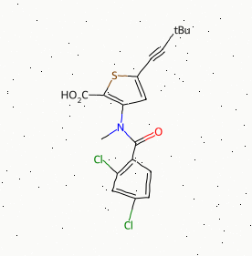 CN(C(=O)c1ccc(Cl)cc1Cl)c1cc(C#CC(C)(C)C)sc1C(=O)O